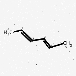 C/C=[C]/C=C/C